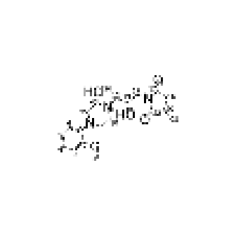 COc1ccccc1N1CCN(CC(O)CN2C(=O)CC(C)C2=O)CC1.Cl